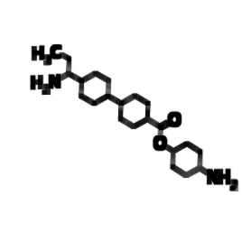 CCC(N)C1CCC(C2CCC(C(=O)OC3CCC(N)CC3)CC2)CC1